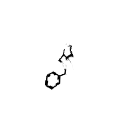 c1ccc(CN2CC3NCC[C@@H]32)cc1